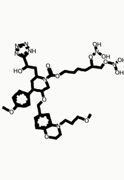 COCCCN1CCOc2ccc(COC3CN(C(=O)OCCCCC(CON(O)O)ON(O)O)C(CC(O)c4nnn[nH]4)CC3c3ccc(OC)cc3)cc21